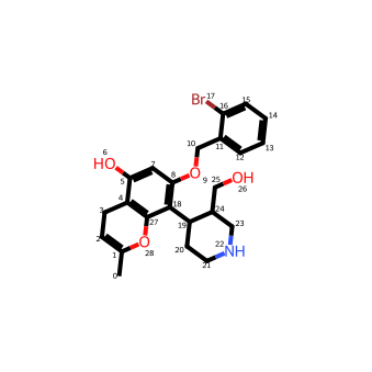 CC1=CCc2c(O)cc(OCc3ccccc3Br)c(C3CCNCC3CO)c2O1